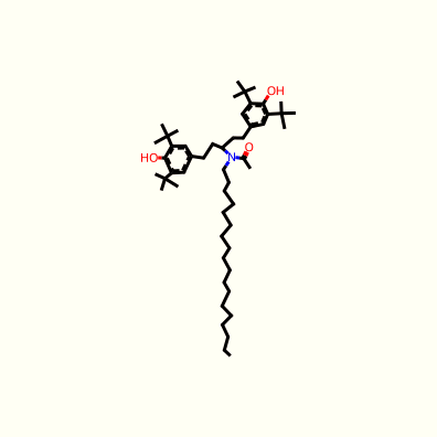 CCCCCCCCCCCCCCCCCCN(C(C)=O)C(CCc1cc(C(C)(C)C)c(O)c(C(C)(C)C)c1)CCc1cc(C(C)(C)C)c(O)c(C(C)(C)C)c1